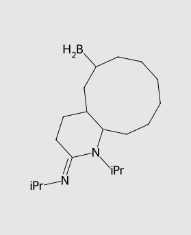 BC1CCCCCCC2C(CC/C(=N\C(C)C)N2C(C)C)C1